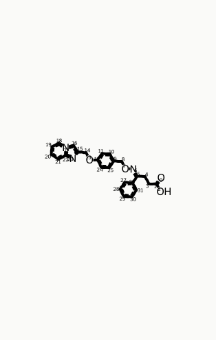 O=C(O)CCC(=NOCc1ccc(OCc2cn3ccccc3n2)cc1)c1ccccc1